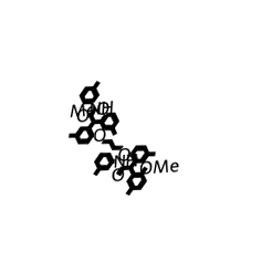 COc1ccc(C)cc1C(C(=O)Nc1cccc(C)c1)c1cc(C)ccc1OCCCCOc1ccc(C)cc1C(C(=O)Nc1cccc(C)c1)c1cc(C)ccc1OC